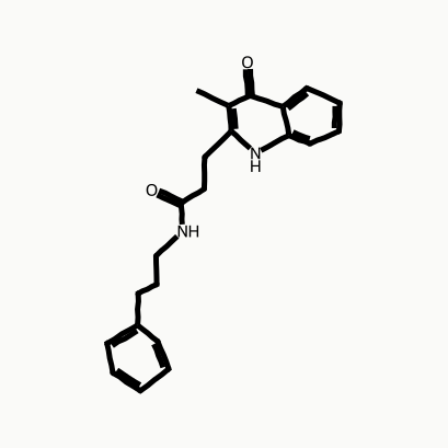 Cc1c(CCC(=O)NCCCc2ccccc2)[nH]c2ccccc2c1=O